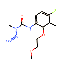 COCCOC1C(NC(=O)N(C)N=N)=CC=C(F)C1C